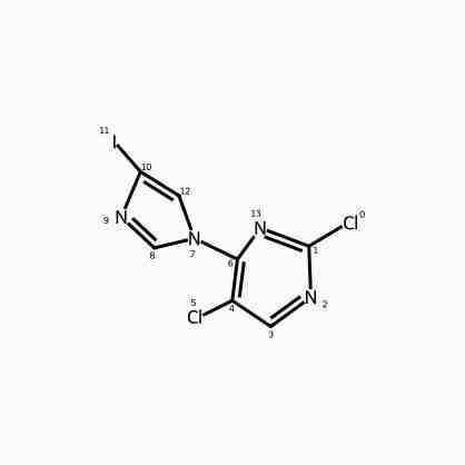 Clc1ncc(Cl)c(-n2cnc(I)c2)n1